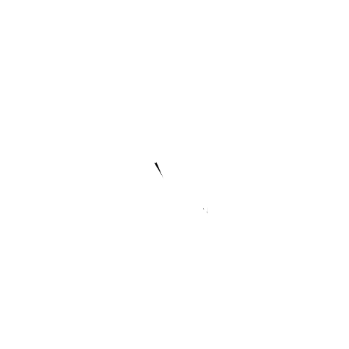 CN1CCC[C@@H](c2ccccc2)C1